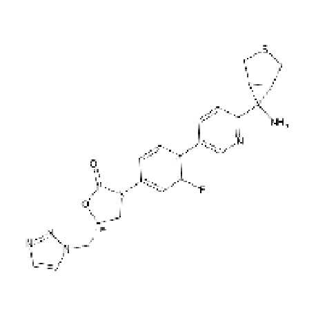 NC1(c2ccc(-c3ccc(N4C[C@H](Cn5ccnn5)OC4=O)cc3F)cn2)C2CSCC21